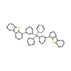 C1=CCC([Si](c2ccccc2)(c2cccc(-c3cccc4c3sc3ccccc34)c2)c2cccc(-c3cccc4c3sc3ccccc34)c2)C=C1